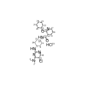 CN(C)c1nc(N[C@H]2CC[C@@H](NC(=O)c3cccnc3Oc3ccccc3)CC2)ncc1Cl.Cl